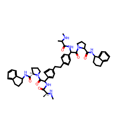 CNC(C)C(=O)NC(C(=O)N1CCCC1C(=O)NC1CCCc2ccccc21)c1ccc(CCc2ccc(C(NC(=O)[C@H](C)NC)C(=O)N3CCC[C@H]3C(=O)NC3CCCc4ccccc43)cc2)cc1